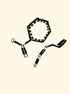 C=CN=[N+]=[N-].O=[N+]([O-])c1ccccc1